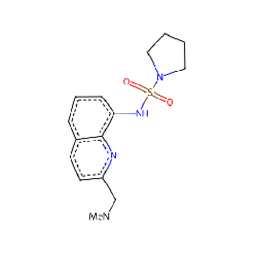 CNCc1ccc2cccc(NS(=O)(=O)N3CCCC3)c2n1